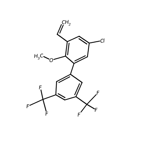 C=Cc1cc(Cl)cc(-c2cc(C(F)(F)F)cc(C(F)(F)F)c2)c1OC